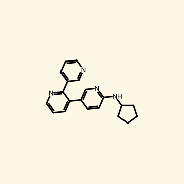 c1cncc(-c2ncccc2-c2ccc(NC3CCCC3)nc2)c1